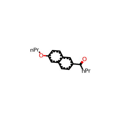 CCCOc1ccc2cc(C(=O)CCC)ccc2c1